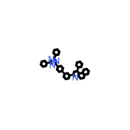 c1ccc(-c2nc(-c3ccccc3)nc(-c3ccc(-c4cccc(-c5cc(-c6ccccc6)c6c(ccc7ccccc76)n5)c4)cc3)n2)cc1